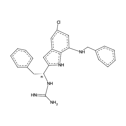 N=C(N)N[C@H](Cc1ccccc1)c1cc2cc(Cl)cc(NCc3ccccc3)c2[nH]1